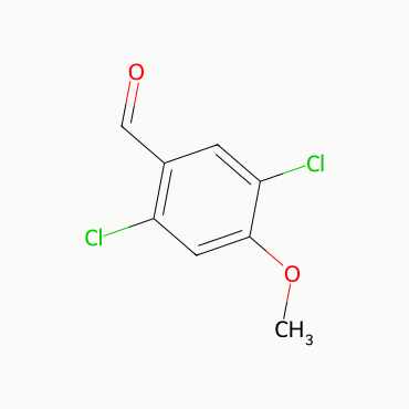 COc1cc(Cl)c(C=O)cc1Cl